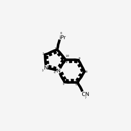 CC(C)c1cnn2cc(C#N)ccc12